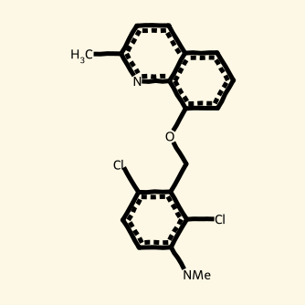 CNc1ccc(Cl)c(COc2cccc3ccc(C)nc23)c1Cl